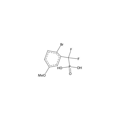 COc1ccc(Br)c(C(F)(F)P(=O)(O)O)c1